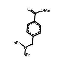 CCCN(CCC)Cc1ccc(C(=O)OC)cc1